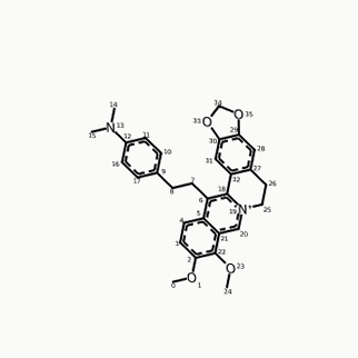 COc1ccc2c(CCc3ccc(N(C)C)cc3)c3[n+](cc2c1OC)CCc1cc2c(cc1-3)OCO2